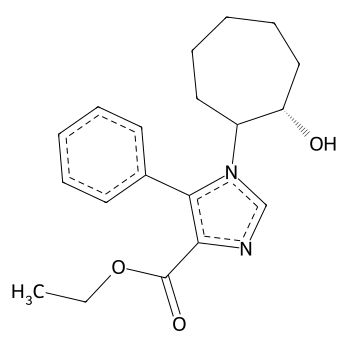 CCOC(=O)c1ncn(C2CCCCC[C@@H]2O)c1-c1ccccc1